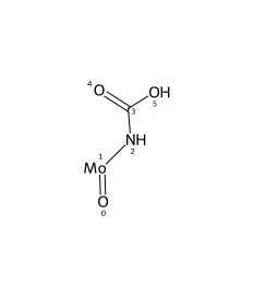 [O]=[Mo][NH]C(=O)O